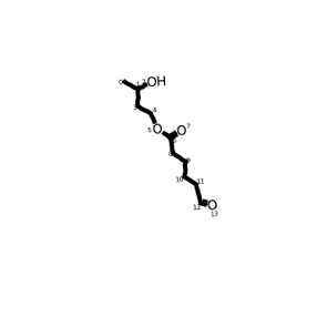 CC(O)CCOC(=O)CCCCC=O